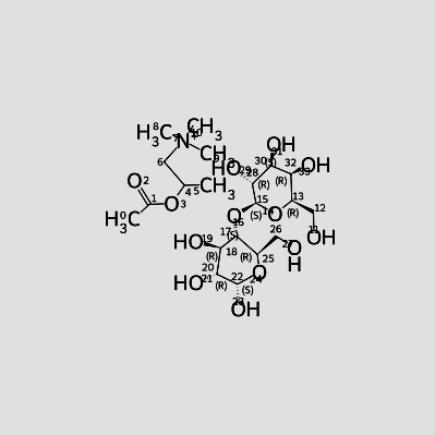 CC(=O)OC(C)C[N+](C)(C)C.OC[C@H]1O[C@@H](O[C@H]2[C@H](O)[C@@H](O)[C@@H](O)O[C@@H]2CO)[C@H](O)[C@@H](O)[C@H]1O